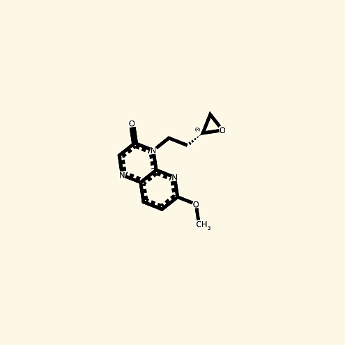 COc1ccc2ncc(=O)n(CC[C@@H]3CO3)c2n1